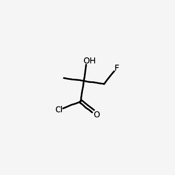 CC(O)(CF)C(=O)Cl